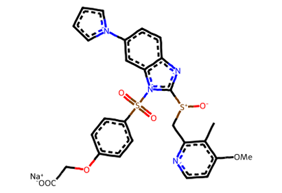 COc1ccnc(C[S+]([O-])c2nc3ccc(-n4cccc4)cc3n2S(=O)(=O)c2ccc(OCC(=O)[O-])cc2)c1C.[Na+]